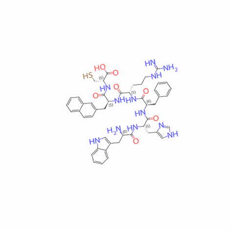 N=C(N)NCCC[C@H](NC(=O)[C@@H](Cc1ccccc1)NC(=O)[C@H](Cc1c[nH]cn1)NC(=O)[C@H](N)Cc1c[nH]c2ccccc12)C(=O)N[C@@H](Cc1ccc2ccccc2c1)C(=O)N[C@H](CS)C(=O)O